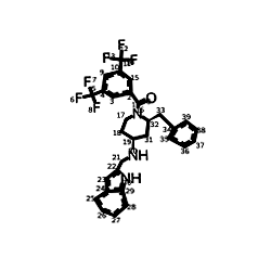 O=C(c1cc(C(F)(F)F)cc(C(F)(F)F)c1)N1CC[C@H](NCc2cc3ccccc3[nH]2)C[C@@H]1Cc1ccccc1